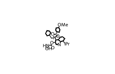 COc1ccc(S(=O)(=O)N(Cc2ccccc2)c2c(OC(=O)NO)cnc3c(C(C)C)cccc23)cc1